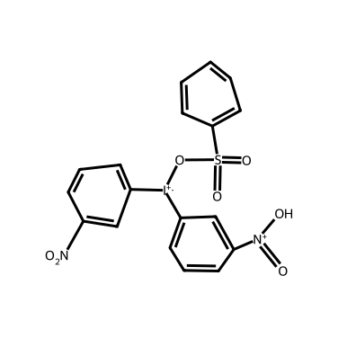 O=[N+]([O-])c1cccc([I+](OS(=O)(=O)c2ccccc2)c2cccc([N+](=O)O)c2)c1